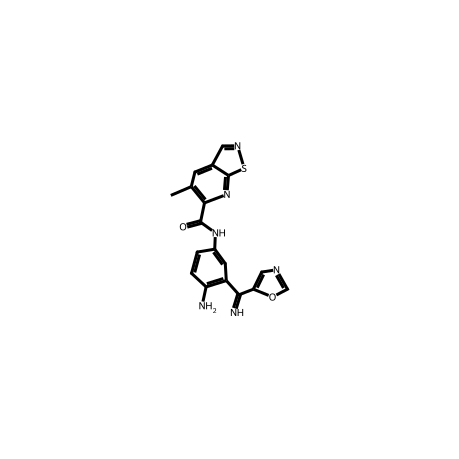 Cc1cc2cnsc2nc1C(=O)Nc1ccc(N)c(C(=N)c2cnco2)c1